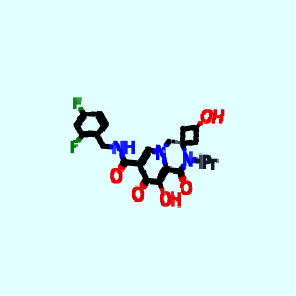 CC(C)N1C(=O)c2c(O)c(=O)c(C(=O)NCc3ccc(F)cc3F)cn2C[C@]12C[C@H](O)C2